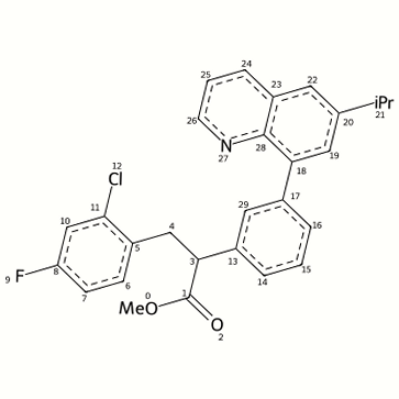 COC(=O)C(Cc1ccc(F)cc1Cl)c1cccc(-c2cc(C(C)C)cc3cccnc23)c1